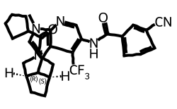 Cn1cc(C2[C@@H]3CC[C@H]2CN(C(=O)C2CCCC2)C3)c2c(C(F)(F)F)c(NC(=O)c3cccc(C#N)c3)cnc21